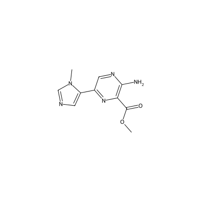 COC(=O)c1nc(-c2cncn2C)cnc1N